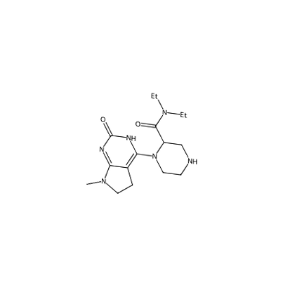 CCN(CC)C(=O)C1CNCCN1c1[nH]c(=O)nc2c1CCN2C